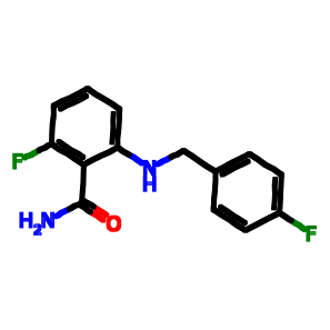 NC(=O)c1c(F)cccc1NCc1ccc(F)cc1